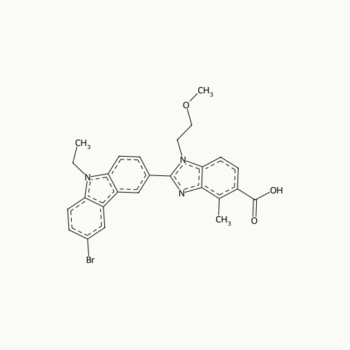 CCn1c2ccc(Br)cc2c2cc(-c3nc4c(C)c(C(=O)O)ccc4n3CCOC)ccc21